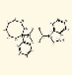 c1ccc(C2(N3CCC(N4CNc5ccccc54)CC3)CCCCCCC2)cc1